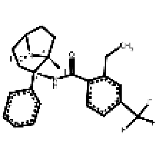 CCc1cc(C(F)(F)F)ccc1C(=O)N[C@@]1(c2ccccc2)CCC2CC[C@H]1N2C